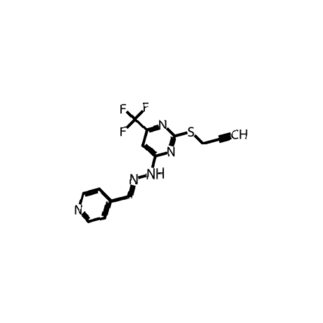 C#CCSc1nc(NN=Cc2ccncc2)cc(C(F)(F)F)n1